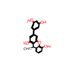 O=CC1c2cccc(O)c2Oc2cc(-c3cc(O)cc(O)c3)cc(O)c21